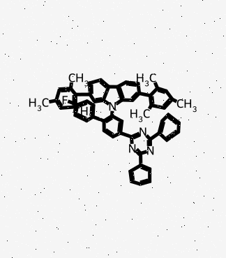 Cc1cc(C)c(-c2ccc3c4ccc(-c5c(C)cc(C)cc5C)cc4n(-c4cc(-c5nc(-c6ccccc6)nc(-c6ccccc6)n5)ccc4-c4ccc(F)cc4)c3c2)c(C)c1